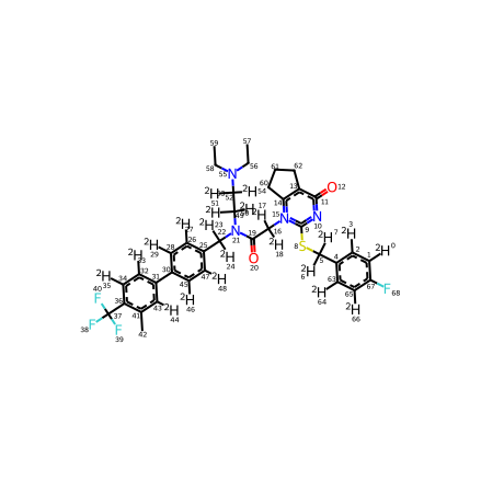 [2H]c1c([2H])c(C([2H])([2H])Sc2nc(=O)c3c(n2C([2H])([2H])C(=O)N(C([2H])([2H])c2c([2H])c([2H])c(-c4c([2H])c([2H])c(C(F)(F)F)c(C)c4[2H])c([2H])c2[2H])C([2H])([2H])C([2H])([2H])N(CC)CC)CCC3)c([2H])c([2H])c1F